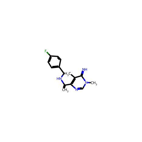 C=C(NCc1ccc(F)cc1)c1ncn(C)c(=N)c1C